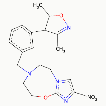 CC1=NOC(C)C1c1cccc(CN2CCOc3nc([N+](=O)[O-])cn3CC2)c1